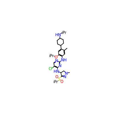 Cc1cc(Nc2ncc(Cl)c(NC3CN(C)N=C3S(=O)(=O)C(C)C)n2)c(OC(C)C)cc1C1CCC(NC(C)C)CC1